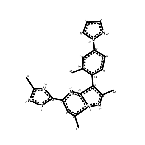 Cc1noc(-c2cc(C)n3nc(C)c(-c4ccc(-n5cccn5)cc4C)c3n2)n1